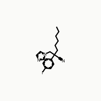 CCCCCCC(C#N)(Cn1ccnc1)c1ccc(I)cc1